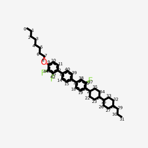 CCCCCCCCOc1ccc(-c2ccc(-c3ccc(C4CCC(C5CCC(CCC)CC5)CC4)c(F)c3)cc2)c(F)c1F